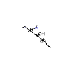 CC/C=C\CCCCOC(CCCCCCCN(CCO)CCCCCOC(=O)OCCC#CCCCCC)OCCCC/C=C\CC